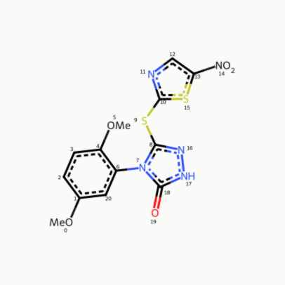 COc1ccc(OC)c(-n2c(Sc3ncc([N+](=O)[O-])s3)n[nH]c2=O)c1